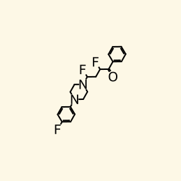 O=C(c1ccccc1)C(F)CC(F)N1CCN(c2ccc(F)cc2)CC1